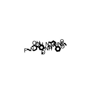 CCS(=O)(=O)Nc1ccccc1-c1ccc2cnc(Nc3ccc(C4(O)CCN(CCF)CC4O)cc3OC)nn12